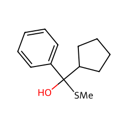 CSC(O)(c1ccccc1)C1CCCC1